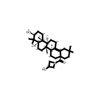 CC1(C)CC[C@]2(C(=O)N3CC(O)C3)CC[C@]3(C)C(=C2C1)CC[C@@H]1[C@@]2(C)CC[C@H](O)C(C)(C)[C@@H]2CC[C@]13C